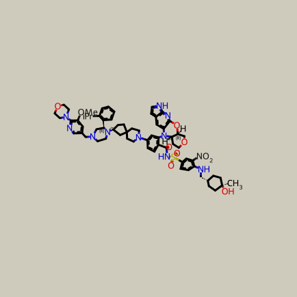 COc1cc(CN2CCN([C@H]3CCC4(CCN(c5ccc(C(=O)NS(=O)(=O)c6ccc(NC[C@H]7CC[C@](C)(O)CC7)c([N+](=O)[O-])c6)c(N6c7cc8cc[nH]c8nc7O[C@H]7COCC[C@@H]76)c5)CC4)C3)[C@H](c3ccccc3C(C)C)C2)cnc1N1CCOCC1